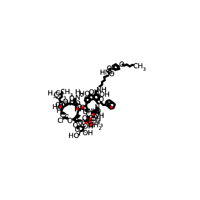 CCCCCOc1ccc(S(=O)(=O)NCCCCCCNCc2c(O)cc3c4c2C(O)(O)c2ccc(cc2-4)[C@H]2CC(=O)[C@@H]4NC(=O)[C@H](CC(N)=O)CC(=O)[C@H](NC(=O)[C@H](CC)CC(C)C)[C@H](O)c5ccc(c(Cl)c5)Oc5cc4cc(c5O[C@@H]4O[C@H](CO)[C@@H](O)[C@H](O)[C@H]4O[C@H]4C[C@](C)(N)[C@H](O)[C@H](C)O4)Oc4ccc(cc4Cl)[C@@H](O)[C@H](NC2=O)C(=O)N[C@@H]3C(=O)CC2C3CC4CC(C3)CC2C4)cc1